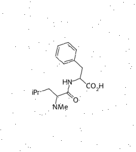 CNC(CC(C)C)C(=O)NC(Cc1ccccc1)C(=O)O